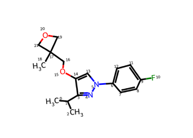 CC(C)c1nn(-c2ccc(F)cc2)cc1OCC1(C)COC1